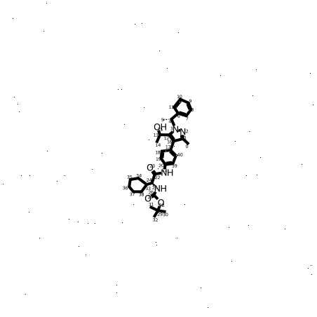 Cc1nn([C@H](C)c2ccccc2)c(C(C)O)c1-c1ccc(NC(=O)[C@@H](NC(=O)OC(C)(C)C)C2CCCCC2)cc1